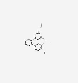 CCSc1nc(N)cc(-c2ccccc2-c2ccc(OC)c(Cl)c2)n1